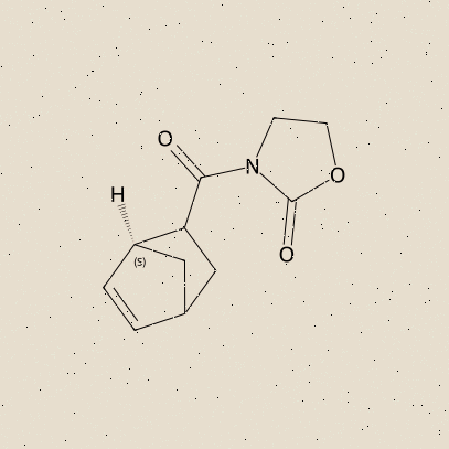 O=C1OCCN1C(=O)C1CC2C=C[C@@H]1C2